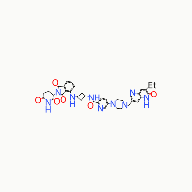 CCc1cc2ncc(CN3CCN(c4ccc(C(=O)NC5CC(Nc6cccc7c6C(=O)N(C6CCC(=O)NC6=O)C7=O)C5)nc4)CC3)cc2[nH]c1=O